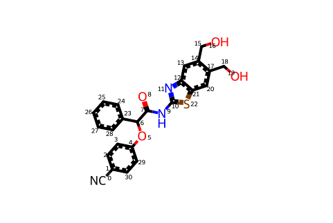 N#Cc1ccc(OC(C(=O)Nc2nc3cc(CO)c(CO)cc3s2)c2ccccc2)cc1